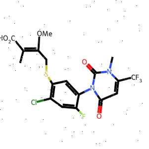 COC(CSc1cc(-n2c(=O)cc(C(F)(F)F)n(C)c2=O)c(F)cc1Cl)=C(C)C(=O)O